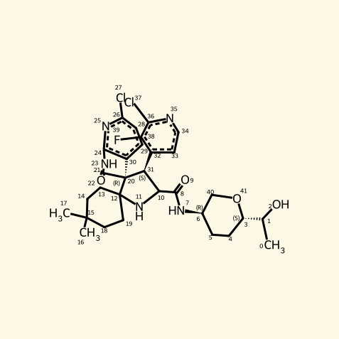 CC(O)[C@@H]1CC[C@@H](NC(=O)C2NC3(CCC(C)(C)CC3)[C@@]3(C(=O)Nc4nc(Cl)ccc43)[C@H]2c2ccnc(Cl)c2F)CO1